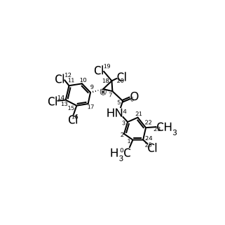 Cc1cc(NC(=O)C2[C@H](c3cc(Cl)c(Cl)c(Cl)c3)C2(Cl)Cl)cc(C)c1Cl